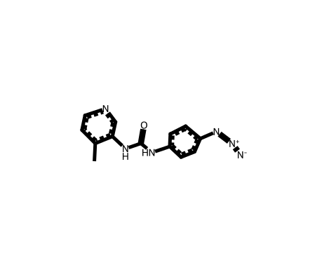 Cc1ccncc1NC(=O)Nc1ccc(N=[N+]=[N-])cc1